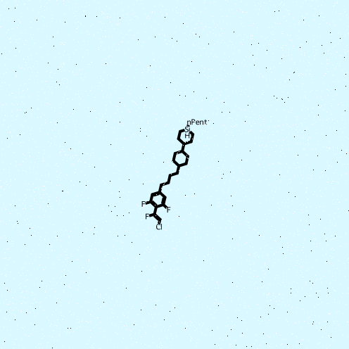 CCCCC[SiH]1CCC(C2CCC(CCCCc3cc(F)c(C(F)=CCl)c(F)c3)CC2)CC1